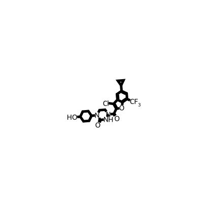 O=C(c1oc2c(C(F)(F)F)cc(C3CC3)cc2c1Cl)N1CCN(C2CCC(O)CC2)C(=O)N1